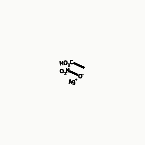 CC(=O)O.O=[N+]([O-])[O-].[Ag+]